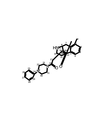 Cc1cccc2c1CC1NCCC23CC(=O)C(CC(=O)N2CCN(c4ccccc4)CC2)CC13